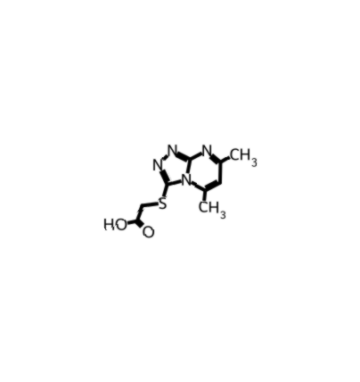 Cc1cc(C)n2c(SCC(=O)O)nnc2n1